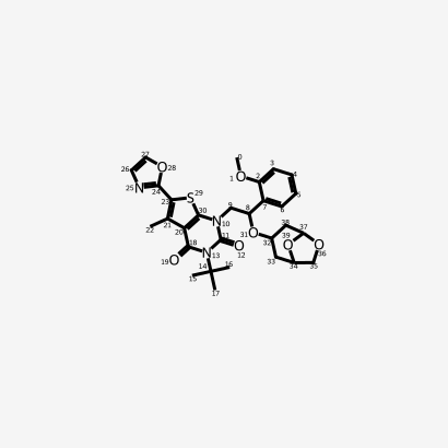 COc1ccccc1C(Cn1c(=O)n(C(C)(C)C)c(=O)c2c(C)c(-c3ncco3)sc21)OC1CC2COC(C1)O2